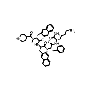 CN(C(=O)C1CCNCC1)[C@H](Cc1ccc2ccccc2c1)C(=O)N[C@H](Cc1ccc2ccccc2c1)C(=O)N[C@@H](Cc1ccccc1)C(=O)N[C@@H](CCCCN)C(N)=O